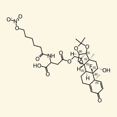 CC1(C)O[C@@H]2C[C@H]3[C@@H]4CCC5=CC(=O)C=C[C@]5(C)[C@@]4(F)[C@@H](O)C[C@]3(C)[C@]2(C(=O)COC(=O)CC(NC(=O)CCCCCO[N+](=O)[O-])C(=O)O)O1